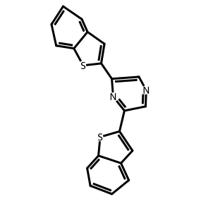 c1ccc2sc(-c3cncc(-c4cc5ccccc5s4)n3)cc2c1